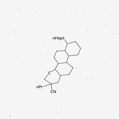 CCCCCCCC1CCCC2C1CCC1C3CCC(C#N)(CCC)CC3CCC21